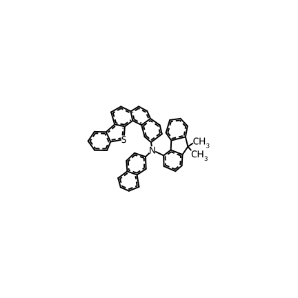 CC1(C)c2ccccc2-c2c(N(c3ccc4ccccc4c3)c3ccc4ccc5ccc6c7ccccc7sc6c5c4c3)cccc21